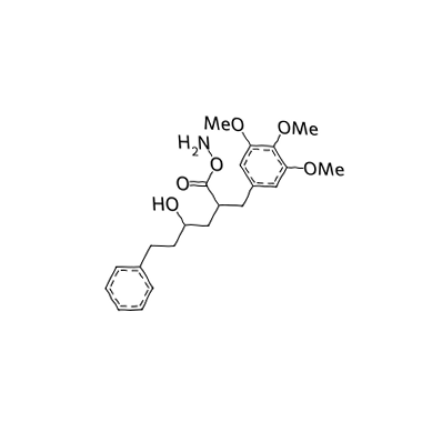 COc1cc(CC(CC(O)CCc2ccccc2)C(=O)ON)cc(OC)c1OC